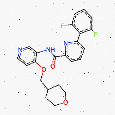 O=C(Nc1cnccc1OCC1CCOCC1)c1cccc(-c2c(F)cccc2F)n1